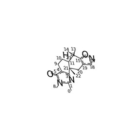 Cc1nc2c(c(=O)n1C)CC[C@H]1C(C)(C)c3oncc3C[C@]21C